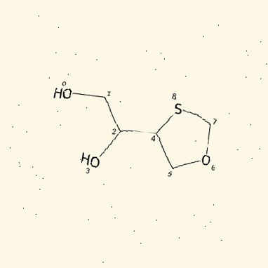 OCC(O)C1COCS1